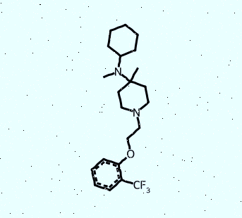 CN(C1CCCCC1)C1(C)CCN(CCOc2ccccc2C(F)(F)F)CC1